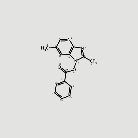 Cc1cnc2nc(C(F)(F)F)n(OC(=O)c3ccccc3)c2c1